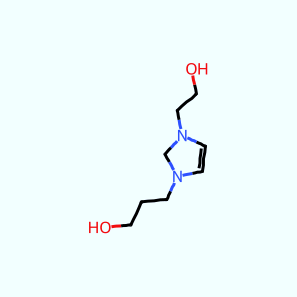 OCCCN1C=CN(CCO)C1